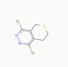 Clc1nnc(Cl)c2c1CCSC2